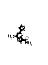 Cc1cc(-c2ccns2)nc2c(C(N)=O)cnn12